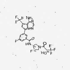 Nc1ncnn2c(-c3cc(F)cc(C(=O)N[C@@H]4CN(C(=O)[C@@H](O)C(F)(F)F)C[C@@H]4F)c3)cc(C(F)(F)F)c12